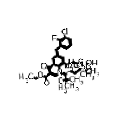 CCOC(=O)c1cn([C@H](CCC(C)(C)[Si](C)(C)O)C(C)(C)C)c2c(OCC)cc(Cc3cccc(Cl)c3F)cc2c1=O